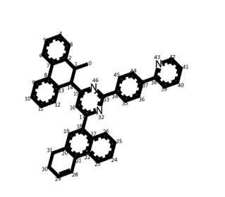 CC1c2ccccc2-c2ccccc2C1c1cc(-c2cc3c(c4ccccc24)C=CCC3)nc(-c2ccc(-c3ccccn3)cc2)n1